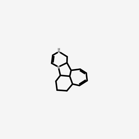 C1=CC2CCCC3C2C(C=C1)C1CNC=CN13